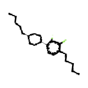 CCCCCc1ccc([C@H]2CC[C@H](CCCCC)CC2)c(F)c1F